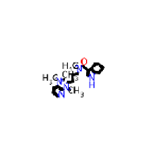 CCN(C)c1cccnc1N(C)CCCCN(C)C(=O)c1c[nH]c2ccccc12